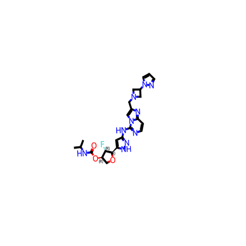 CC(C)NC(=O)O[C@@H]1CO[C@H](c2cc(Nc3nccc4nc(CN5CC(n6cccn6)C5)cn34)n[nH]2)[C@H]1F